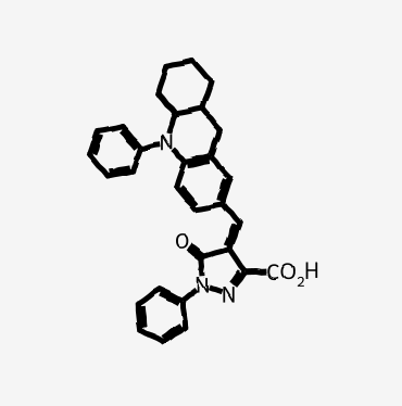 O=C(O)C1=NN(c2ccccc2)C(=O)/C1=C\c1ccc2c(c1)CC1CCCCC1N2c1ccccc1